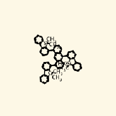 C[Si]1(C)c2ccccc2-c2cccc(-c3cccc4c(-c5cccc6c5[Si](C)(C)c5ccccc5-6)c5cccc(-c6cccc7c6[Si](C)(C)c6ccccc6-7)c5cc34)c21